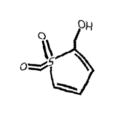 O=S1(=O)C=CC=C1O